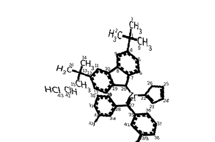 CC(C)(C)c1ccc2c(c1)-c1cc(C(C)(C)C)ccc1[CH]2[Zr]([C]1=CC=CC1)=[C](c1cccc(I)c1)c1cccc(I)c1.Cl.Cl